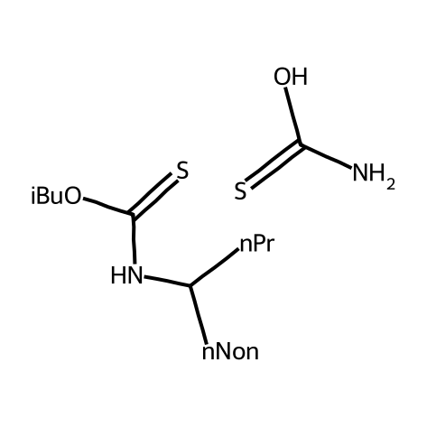 CCCCCCCCCC(CCC)NC(=S)OCC(C)C.NC(O)=S